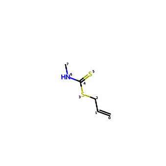 C=CCSC(=S)NC